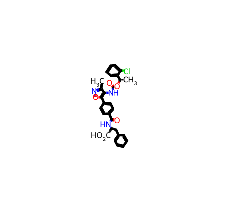 Cc1noc(-c2ccc(C(=O)NC(Cc3ccccc3)C(=O)O)cc2)c1NC(=O)O[C@H](C)c1ccccc1Cl